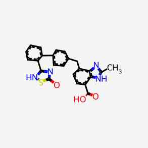 Cc1nc2c(Cc3ccc(-c4ccccc4-c4nc(=O)s[nH]4)cc3)ccc(C(=O)O)c2[nH]1